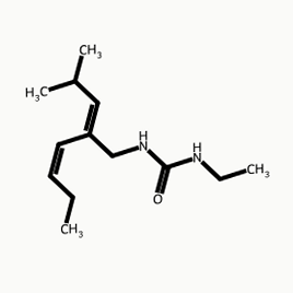 CC/C=C\C(=C/C(C)C)CNC(=O)NCC